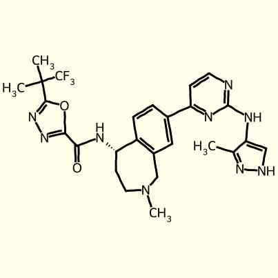 Cc1n[nH]cc1Nc1nccc(-c2ccc3c(c2)CN(C)CC[C@@H]3NC(=O)c2nnc(C(C)(C)C(F)(F)F)o2)n1